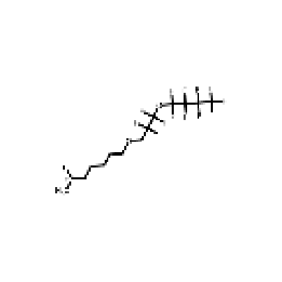 C[C@@H](F)CCCC=COCC(F)(F)C(F)(F)OC(F)(F)C(F)(F)C(F)(F)C(F)(F)F